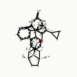 O=c1[nH]nc(-c2ccc(N3[C@@H]4CC[C@H]3CC(OCc3c(-c5ccccc5OC(F)(F)F)noc3C3CC3)C4)cc2)c(=O)[nH]1